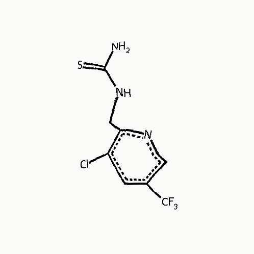 NC(=S)NCc1ncc(C(F)(F)F)cc1Cl